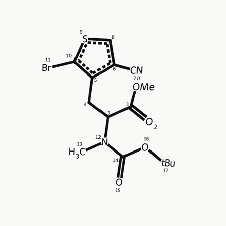 COC(=O)C(Cc1c(C#N)csc1Br)N(C)C(=O)OC(C)(C)C